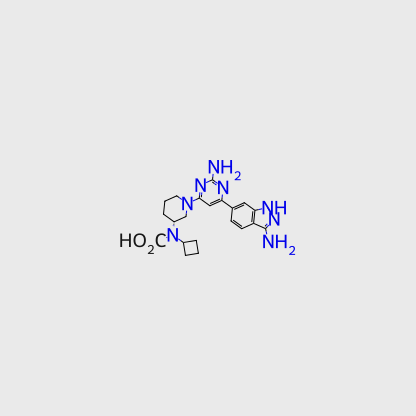 Nc1nc(-c2ccc3c(N)n[nH]c3c2)cc(N2CCC[C@@H](N(C(=O)O)C3CCC3)C2)n1